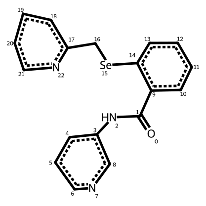 O=C(Nc1cccnc1)c1ccccc1[Se]Cc1ccccn1